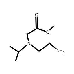 CC(C)N(CCN)CC(=O)OI